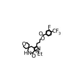 CCn1nc(CCCOC(=O)c2ccc(C(F)(F)F)c(F)c2)c2c1C(=O)NCC1(CCOCC1)C2